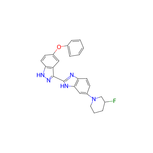 FC1CCCN(c2ccc3nc(-c4n[nH]c5ccc(Oc6ccccc6)cc45)[nH]c3c2)C1